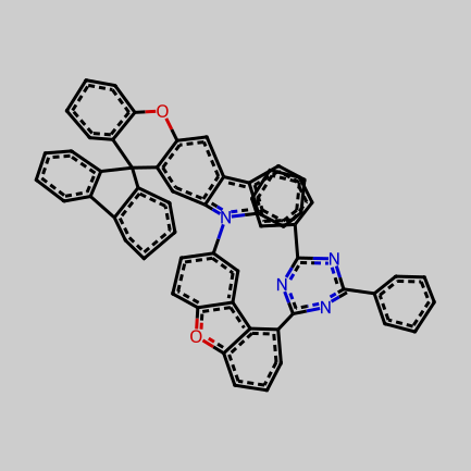 c1ccc(-c2nc(-c3ccccc3)nc(-c3cccc4oc5ccc(-n6c7ccccc7c7cc8c(cc76)C6(c7ccccc7O8)c7ccccc7-c7ccccc76)cc5c34)n2)cc1